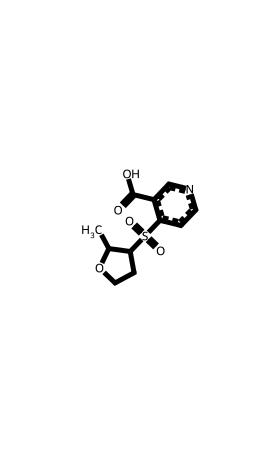 CC1OCCC1S(=O)(=O)c1ccncc1C(=O)O